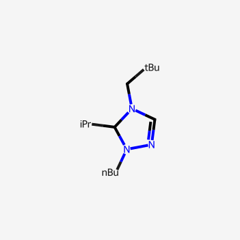 CCCCN1N=CN(CC(C)(C)C)C1C(C)C